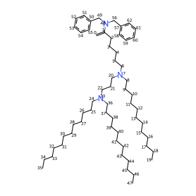 C=C(CCCCCN(CCCCCCCCCCCC)CCCN(CCCCCCCCCCCC)CCCCCCCCCCCC)N(Cc1ccccc1)Cc1ccccc1